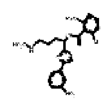 COc1cccc(Cl)c1C(=O)NC(CCCNC(=O)O)c1ncc(-c2cccc([N+](=O)[O-])c2)o1